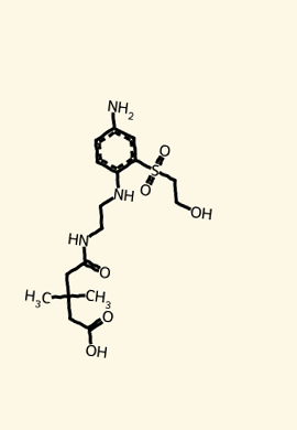 CC(C)(CC(=O)O)CC(=O)NCCNc1ccc(N)cc1S(=O)(=O)CCO